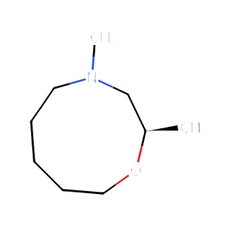 C[C@@H]1CN(C)CCCCCO1